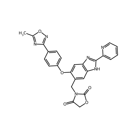 Cc1nc(-c2ccc(Oc3cc4nc(-c5ccccn5)[nH]c4cc3CN3C(=O)COC3=O)cc2)no1